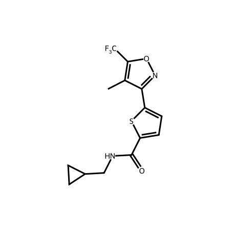 Cc1c(-c2ccc(C(=O)NCC3CC3)s2)noc1C(F)(F)F